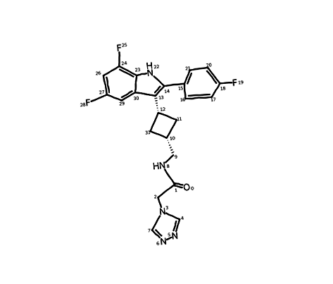 O=C(Cn1cnnc1)NC[C@H]1C[C@@H](c2c(-c3ccc(F)cc3)[nH]c3c(F)cc(F)cc32)C1